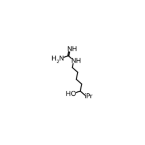 CC(C)C(O)CCCCNC(=N)N